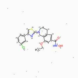 CCOc1cc(C(=O)NO)cc2c1CN(c1nc(-c3cccc(Cl)c3)cs1)CCC2